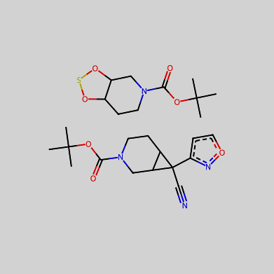 CC(C)(C)OC(=O)N1CCC2C(C1)C2(C#N)c1ccon1.CC(C)(C)OC(=O)N1CCC2OSOC2C1